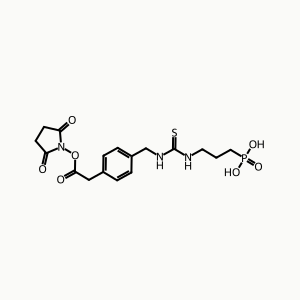 O=C(Cc1ccc(CNC(=S)NCCCP(=O)(O)O)cc1)ON1C(=O)CCC1=O